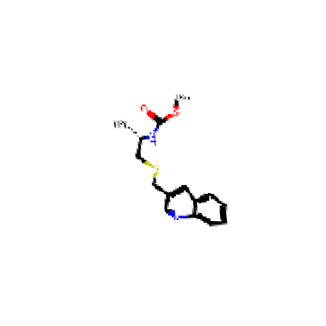 CCC[C@@H](CSCc1cnc2ccccc2c1)NC(=O)OC(C)(C)C